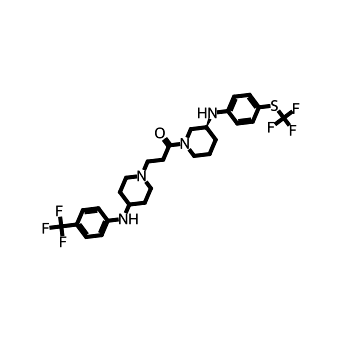 O=C(CCN1CCC(Nc2ccc(C(F)(F)F)cc2)CC1)N1CCC[C@H](Nc2ccc(SC(F)(F)F)cc2)C1